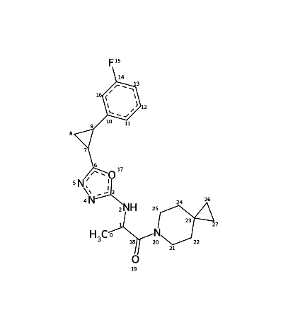 CC(Nc1nnc(C2CC2c2cccc(F)c2)o1)C(=O)N1CCC2(CC1)CC2